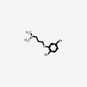 CC(C)c1ccc(C(C)C)c(OCCCN(C)C)c1